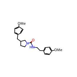 COc1ccc(CCNC(=O)N2CCC(Cc3ccc(OC)cc3)C2)cc1